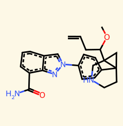 C=CCC(OC)C12CNCCC1(c1ccc(-n3cc4cccc(C(N)=O)c4n3)cc1)C2